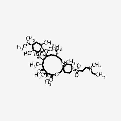 CCN(C)CCS(=O)(=O)N1CCC2(CC1)COC(=O)C(C)(C)C(=O)[C@H](C)[C@@H](O[C@@H]1O[C@H](C)C[C@H](N(C)C)[C@H]1O)[C@](C)(OC)C[C@@H](C)CN2C